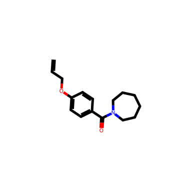 C=CCOc1ccc(C(=O)N2CCCCCC2)cc1